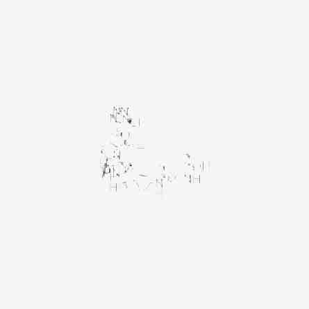 CO[C@@]1(NC(=O)[C@H](O)c2ccc(NC(=O)OC[C@@H](N)C(=O)O)cc2)C(=O)N2C(C(=O)O)=C(CSc3nnnn3C)CS[C@@H]21